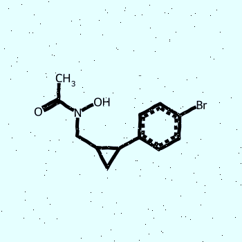 CC(=O)N(O)CC1CC1c1ccc(Br)cc1